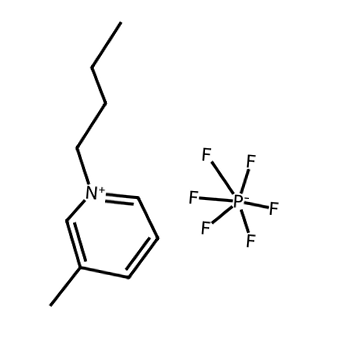 CCCC[n+]1cccc(C)c1.F[P-](F)(F)(F)(F)F